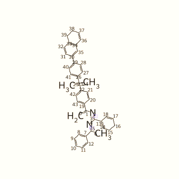 C=C(/N=C(\N=C(/C)c1ccccc1)C1=CCCC=C1)c1ccc(C(C)(C)c2ccc(-c3ccc4c(c3)C=CCC4)cc2)cc1